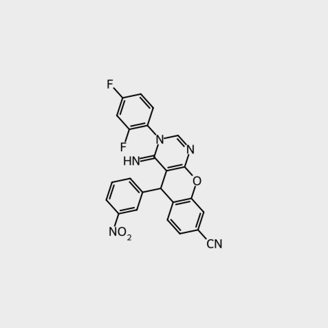 N#Cc1ccc2c(c1)Oc1ncn(-c3ccc(F)cc3F)c(=N)c1C2c1cccc([N+](=O)[O-])c1